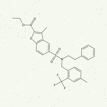 CCOC(=O)c1oc2ccc(S(=O)(=O)N(CCc3ccccc3)Cc3ccc(C)cc3C(F)(F)F)cc2c1C